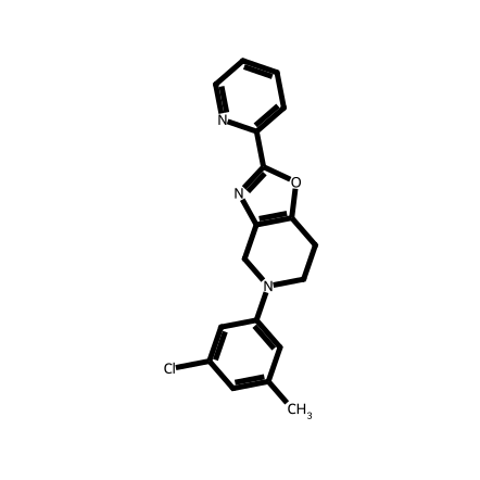 Cc1cc(Cl)cc(N2CCc3oc(-c4ccccn4)nc3C2)c1